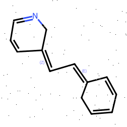 C1=CC/C(=C\C=C2\C=CC=NC2)C=C1